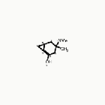 CNC1(C)CC(O)=C2CC2C1